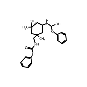 CC1(C)CC(NC(O)Oc2ccccc2)CC(C)(CNC(=O)Oc2ccccc2)C1